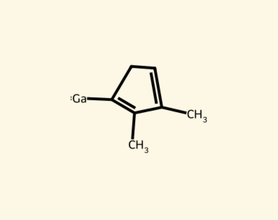 CC1=CC[C]([Ga])=C1C